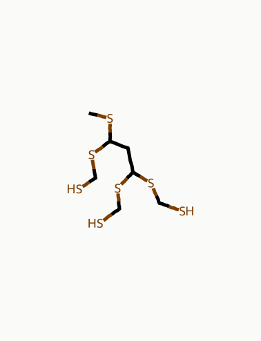 CSC(CC(SCS)SCS)SCS